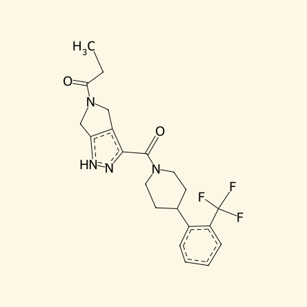 CCC(=O)N1Cc2[nH]nc(C(=O)N3CCC(c4ccccc4C(F)(F)F)CC3)c2C1